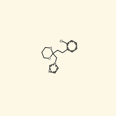 Clc1ccccc1CCC1(Cn2ccnc2)OCCCO1